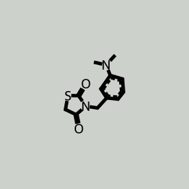 CN(C)c1cccc(CN2C(=O)CSC2=O)c1